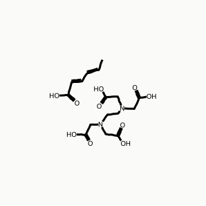 C/C=C/C=C/C(=O)O.O=C(O)CN(CCN(CC(=O)O)CC(=O)O)CC(=O)O